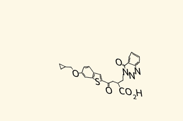 O=C(CC(CCn1nnc2ccccc2c1=O)C(=O)O)c1cc2ccc(OCC3CC3)cc2s1